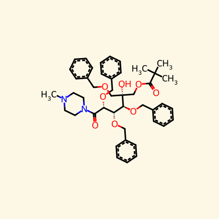 CN1CCN(C(=O)[C@H](OCc2ccccc2)[C@@H](OCc2ccccc2)[C@H](OCc2ccccc2)[C@@](O)(COCc2ccccc2)COC(=O)C(C)(C)C)CC1